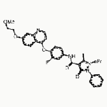 CCCn1c(C)c(C(=O)Nc2ccc(Oc3ccnc4cc(OCCOC)ccc34)c(F)c2)c(=O)n1-c1ccccc1